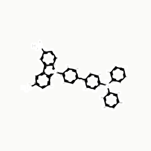 Cc1ccc2c(c1)c1cc(C)ccc1n2-c1ccc(-c2ccc(N(c3ccccc3)c3ccccc3)cc2)cc1